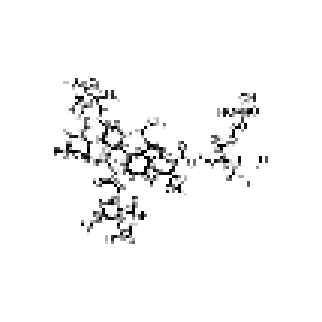 C[C@@H](C(=O)O)N(CCOC(=O)N(c1nn(CC(F)(F)F)c2c(-c3ccc(CCC(C)(C)S(C)(=O)=O)nc3[C@H](Cc3cc(F)cc(F)c3)NC(=O)Cn3nc(C(F)(F)F)c4c3C(F)(F)C3C[C@H]43)ccc(Cl)c12)S(C)(=O)=O)C(=O)OCOP(=O)(O)O